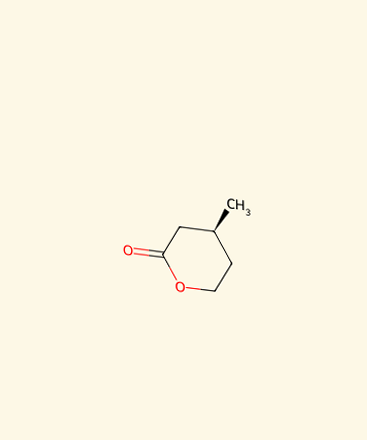 C[C@H]1CCOC(=O)C1